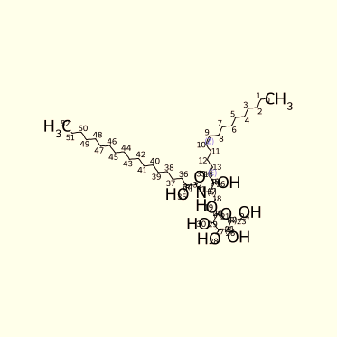 CCCCCCCCC/C=C\CC/C=C/[C@@H](O)[C@H](CO[C@@H]1O[C@H](CO)[C@@H](O)C(O)C1O)NC(=O)[C@H](O)CCCCCCCCCCCCCCCCC